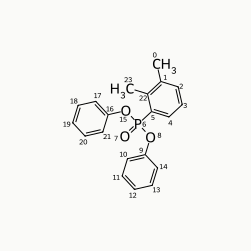 Cc1cccc(P(=O)(Oc2ccccc2)Oc2ccccc2)c1C